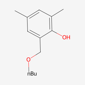 CCCCOCc1cc(C)cc(C)c1O